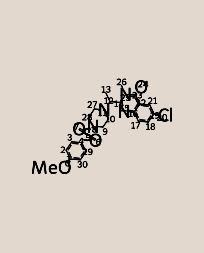 COc1ccc(S(=O)(=O)N2CCN(C(C)c3nc4ccc(Cl)cc4c(=O)n3C)CC2)cc1